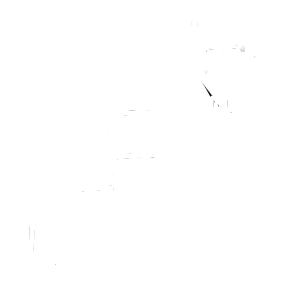 NC(=O)[C@@H](N)Cc1ccc(OCC2=CCC=C2)cc1